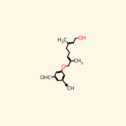 C#Cc1cc(C=O)cc(OCC(C)=CCCC(C)=CCO)c1